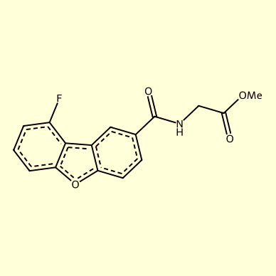 COC(=O)CNC(=O)c1ccc2oc3cccc(F)c3c2c1